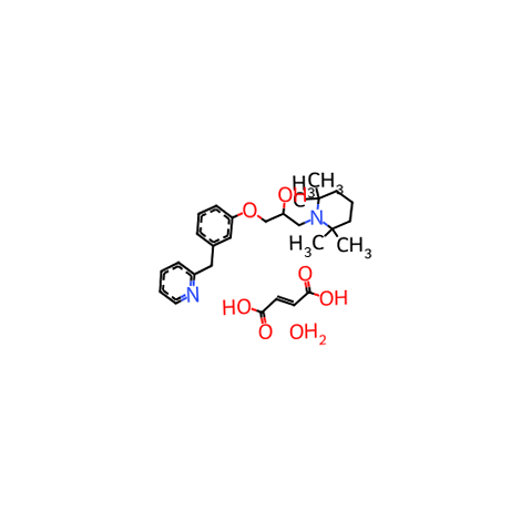 CC1(C)CCCC(C)(C)N1CC(O)COc1cccc(Cc2ccccn2)c1.O.O=C(O)/C=C/C(=O)O